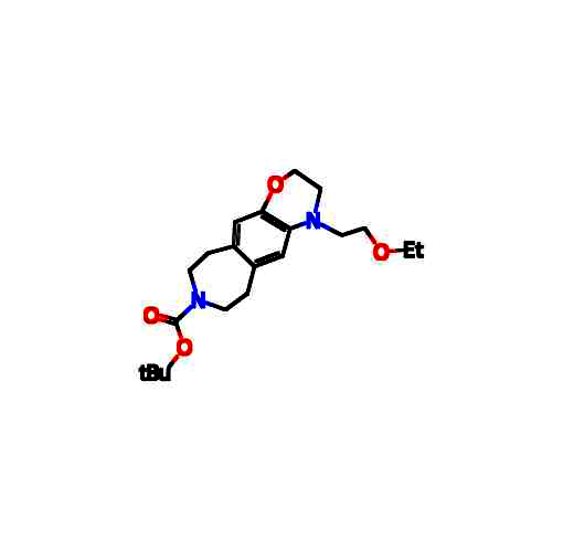 CCOCCN1CCOc2cc3c(cc21)CCN(C(=O)OC(C)(C)C)CC3